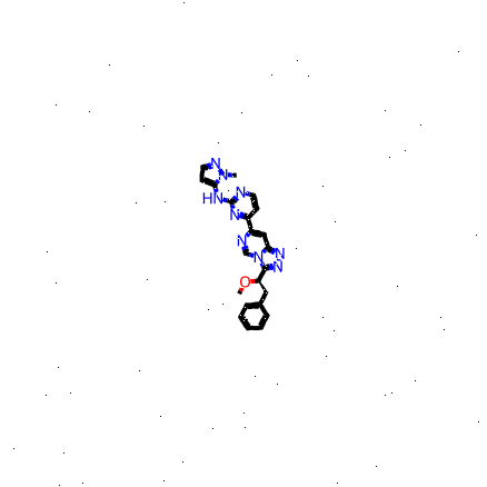 CO[C@H](Cc1ccccc1)c1nnc2cc(-c3ccnc(Nc4ccnn4C)n3)ncn12